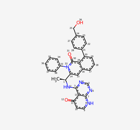 C[C@H](Nc1ncnc2[nH]ccc(=O)c12)c1cc2cccc(-c3ccc(CO)cc3)c2c(=O)n1-c1ccccc1